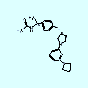 CC(=O)N[C@@H](C)c1ccc(O[C@@H]2CCN(c3cccc(N4CCCC4)n3)C2)cc1